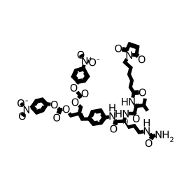 CC(C)[C@H](NC(=O)CCCCCN1C(=O)C=CC1=O)C(=O)N[C@@H](CCCNC(N)=O)C(=O)Nc1ccc(C=C(COC(=O)Oc2ccc([N+](=O)[O-])cc2)COC(=O)Oc2ccc([N+](=O)[O-])cc2)cc1